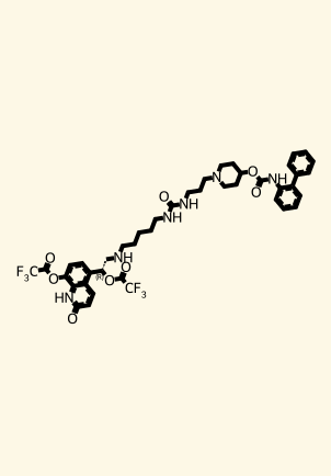 O=C(NCCCCCNC[C@H](OC(=O)C(F)(F)F)c1ccc(OC(=O)C(F)(F)F)c2[nH]c(=O)ccc12)NCCCN1CCC(OC(=O)Nc2ccccc2-c2ccccc2)CC1